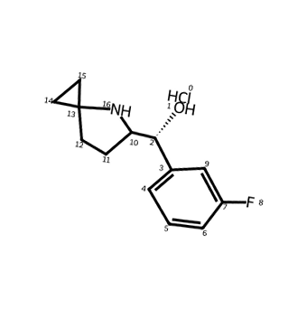 Cl.O[C@H](c1cccc(F)c1)C1CCC2(CC2)N1